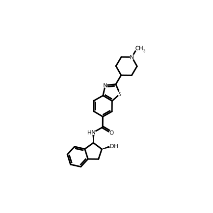 CN1CCC(c2nc3ccc(C(=O)N[C@@H]4c5ccccc5C[C@@H]4O)cc3s2)CC1